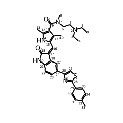 CCN(CC)CCN(C)C(=O)c1c(C)[nH]c(/C=C2\C(=O)Nc3ccc(-c4csc(-c5ccc(C)cc5)n4)cc32)c1C